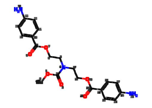 CC(C)(C)OC(=O)N(CCOC(=O)c1ccc(N)cc1)CCOC(=O)c1ccc(N)cc1